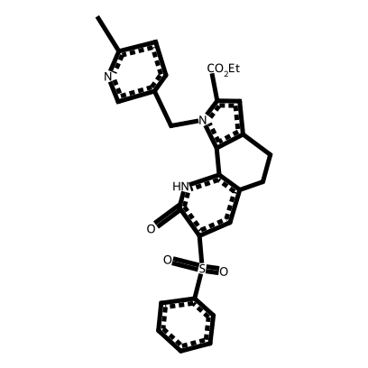 CCOC(=O)c1cc2c(n1Cc1ccc(C)nc1)-c1[nH]c(=O)c(S(=O)(=O)c3ccccc3)cc1CC2